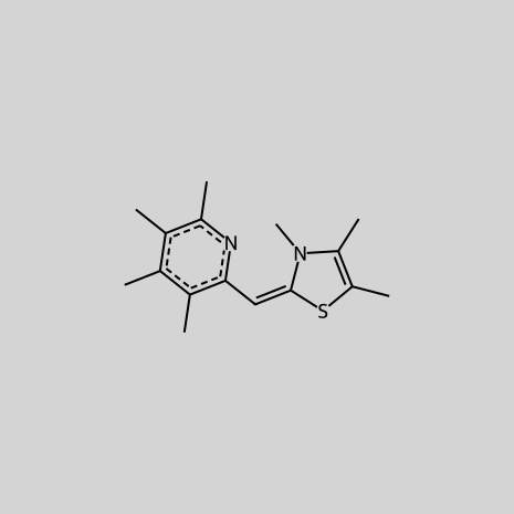 CC1=C(C)N(C)C(=Cc2nc(C)c(C)c(C)c2C)S1